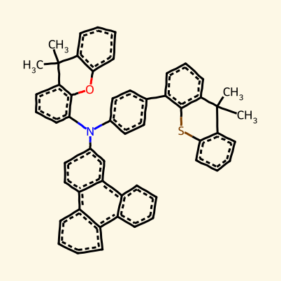 CC1(C)c2ccccc2Oc2c(N(c3ccc(-c4cccc5c4Sc4ccccc4C5(C)C)cc3)c3ccc4c5ccccc5c5ccccc5c4c3)cccc21